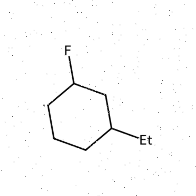 CCC1CC[CH]C(F)C1